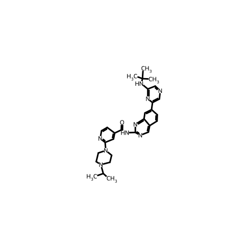 CC(C)N1CCN(c2cc(C(=O)Nc3ncc4ccc(-c5cncc(NC(C)(C)C)n5)cc4n3)ccn2)CC1